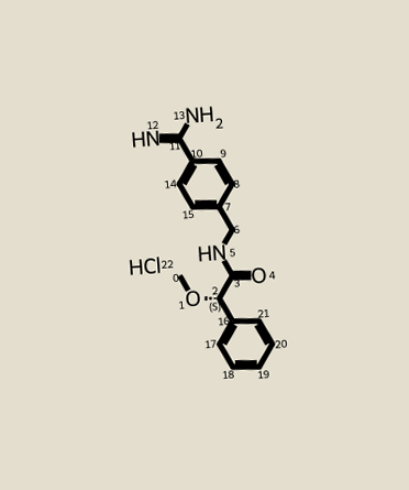 CO[C@H](C(=O)NCc1ccc(C(=N)N)cc1)c1ccccc1.Cl